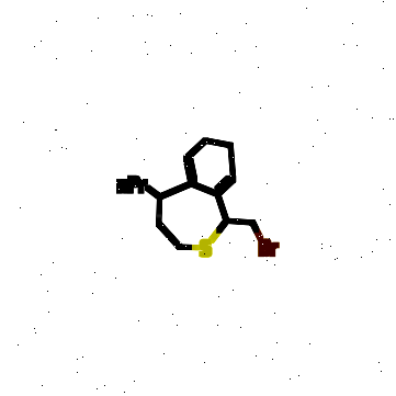 CCCC1CCSC(CBr)C2=CCCC=C21